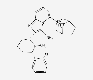 CN1C2CCC1CN(c1cccc3nc([C@H]4CCC[C@@H](c5ncccc5Cl)N4C)c(N)n13)C2